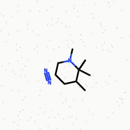 CC1CCCN(C)C1(C)C.N#N